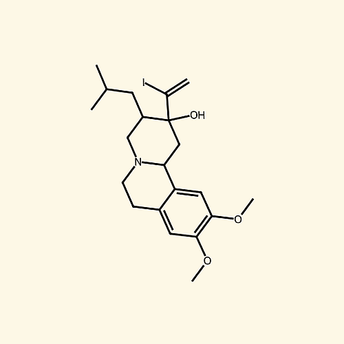 C=C(I)C1(O)CC2c3cc(OC)c(OC)cc3CCN2CC1CC(C)C